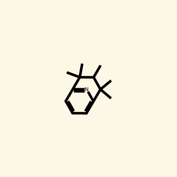 CC1C(C)(C)c2cccc(n2)C1(C)C